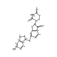 O=C1CCC(N2Cc3cc(CN4COc5cc(Cl)ccc54)ccc3C2=O)C(=O)N1